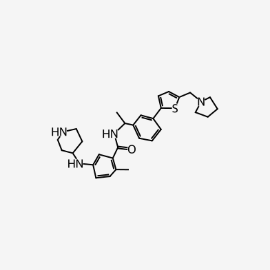 Cc1ccc(NC2CCNCC2)cc1C(=O)NC(C)c1cccc(-c2ccc(CN3CCCC3)s2)c1